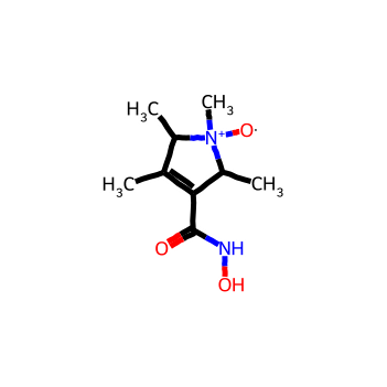 CC1=C(C(=O)NO)C(C)[N+](C)([O])C1C